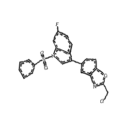 O=S(=O)(c1ccccc1)n1cc(-c2ccc3oc(CCl)nc3c2)c2ccc(F)cc21